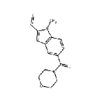 Cn1c(C=O)cc2cc(C(=O)N3CCOCC3)ccc21